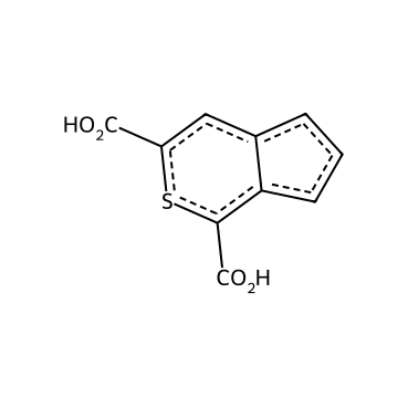 O=C(O)c1cc2cccc-2c(C(=O)O)s1